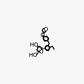 CCc1ccc([C@H]2C[C@@H](O)C[C@@H](CO)O2)cc1Cc1ccc(O[C@H]2CCOC2)cc1